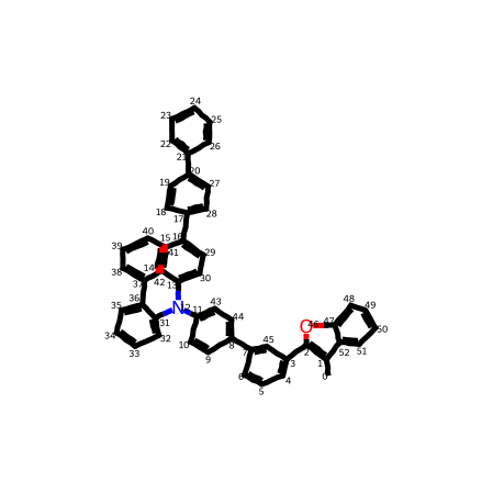 Cc1c(-c2cccc(-c3ccc(N(c4ccc(-c5ccc(-c6ccccc6)cc5)cc4)c4ccccc4-c4ccccc4)cc3)c2)oc2ccccc12